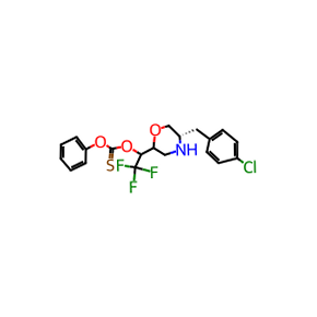 FC(F)(F)C(OC(=S)Oc1ccccc1)C1CN[C@@H](Cc2ccc(Cl)cc2)CO1